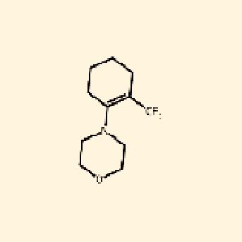 FC(F)(F)C1=C(N2CCOCC2)CCCC1